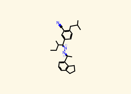 CCC(C)/C(=N\N=C(/C)c1cccc2c1CCC2)c1ccc(CC(C)C)c(C#N)c1